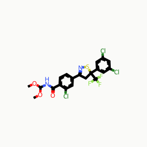 COC(NC(=O)c1ccc(C2=NSC(c3cc(Cl)cc(Cl)c3)(C(F)(F)F)C2)cc1Cl)OC